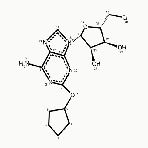 Nc1nc(OC2CCCC2)nc2c1ncn2[C@@H]1O[C@H](CCl)[C@@H](O)[C@H]1O